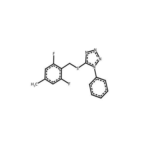 Cc1cc(F)c(CSc2nnnn2-c2ccccc2)c(F)c1